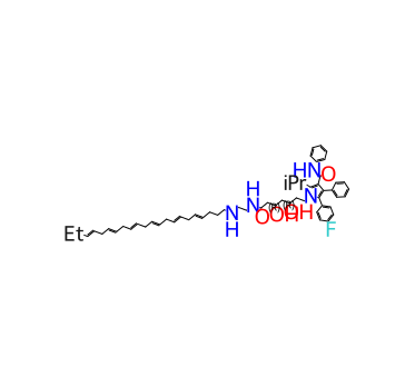 CCC=CCC=CCC=CCC=CCC=CCC=CCCCNCCNC(=O)C[C@H](O)C[C@H](O)CCn1c(-c2ccc(F)cc2)c(-c2ccccc2)c(C(=O)Nc2ccccc2)c1C(C)C